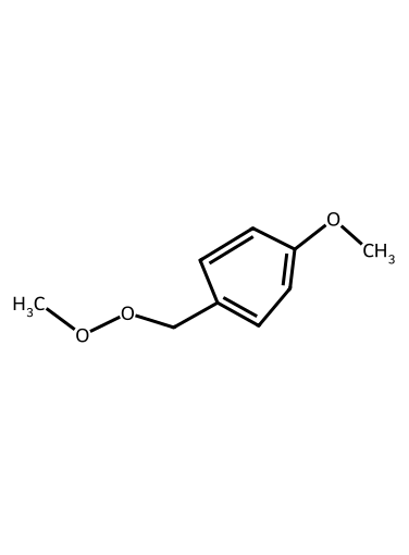 COOCc1ccc(OC)cc1